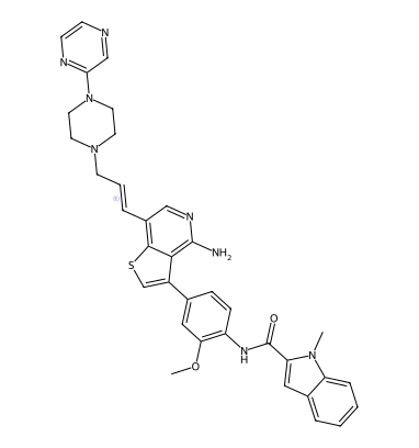 COc1cc(-c2csc3c(/C=C/CN4CCN(c5cnccn5)CC4)cnc(N)c23)ccc1NC(=O)c1cc2ccccc2n1C